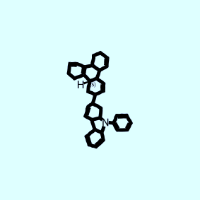 C1=CC2C3C=CC(C4C=CC5C6C=CCCC6C6=C(CCC=C6)[C@H]5C4)CC3N(c3ccccc3)C2C=C1